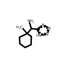 CC1(C(N)c2nnn[nH]2)CCCCC1